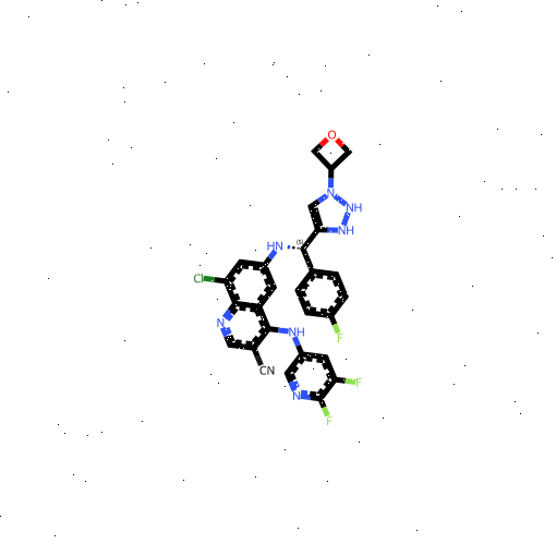 N#Cc1cnc2c(Cl)cc(N[C@H](C3=CN(C4COC4)NN3)c3ccc(F)cc3)cc2c1Nc1cnc(F)c(F)c1